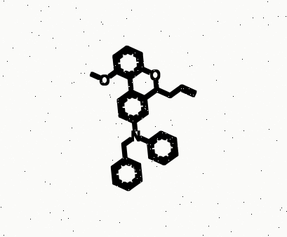 C=CCC1Oc2cccc(OC)c2-c2ccc(N(Cc3ccccc3)c3ccccc3)cc21